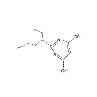 CCCC(CC)c1nc(O)cc(O)n1